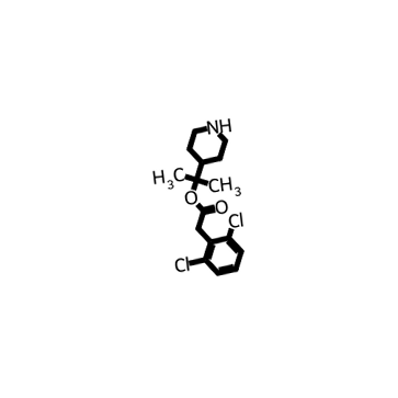 CC(C)(OC(=O)Cc1c(Cl)cccc1Cl)C1CCNCC1